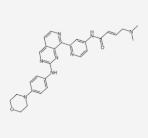 CN(C)CC=CC(=O)Nc1ccnc(-c2nccc3cnc(Nc4ccc(N5CCOCC5)cc4)nc23)c1